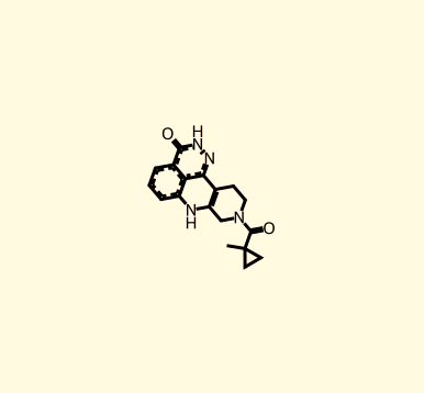 CC1(C(=O)N2CCC3=C(C2)Nc2cccc4c(=O)[nH]nc3c24)CC1